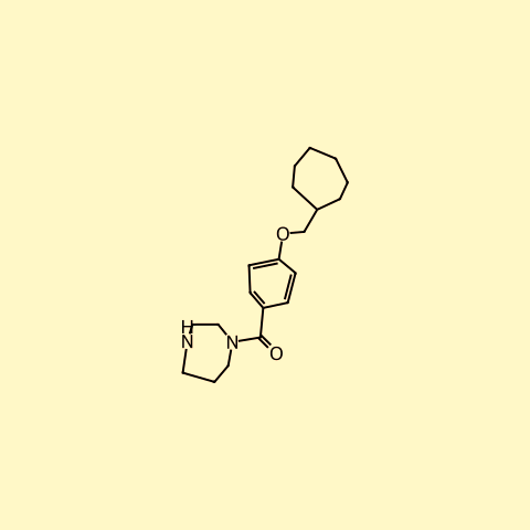 O=C(c1ccc(OCC2CCCCCC2)cc1)N1CCCNCC1